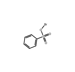 O=S(=O)(OBr)c1ccccc1